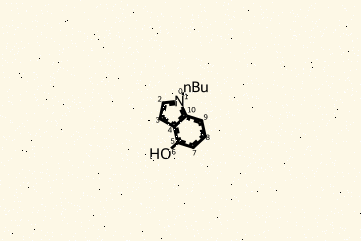 CCCCn1ccc2c(O)cccc21